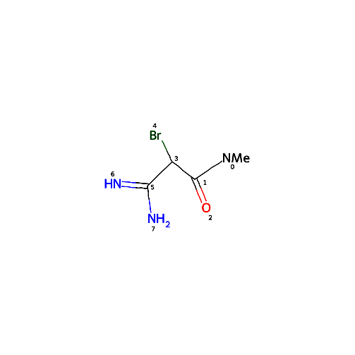 CNC(=O)C(Br)C(=N)N